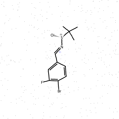 CC(C)(C)[S@@+]([O-])/N=C/c1ccc(Br)c(F)c1